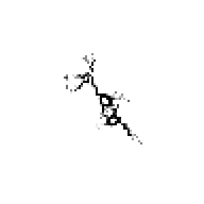 CCCCCc1cc(C)c2c(c1)C1Oc3c(C)cc(CCCC[N+](CCCC)(CCCC)CCCC)cc3C(O2)O1